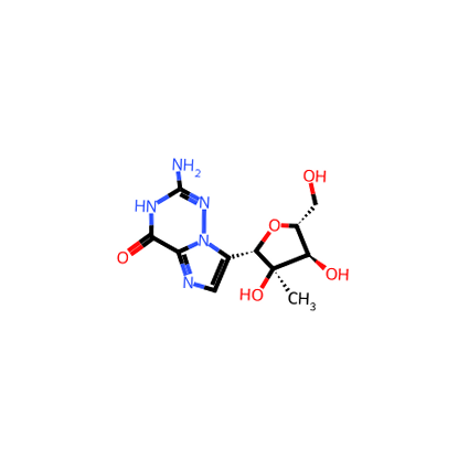 C[C@@]1(O)[C@H](O)[C@@H](CO)O[C@H]1c1cnc2c(=O)[nH]c(N)nn12